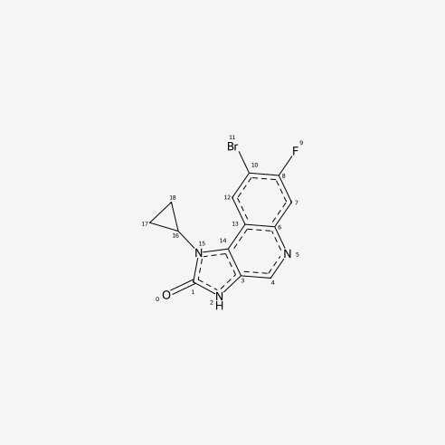 O=c1[nH]c2cnc3cc(F)c(Br)cc3c2n1C1CC1